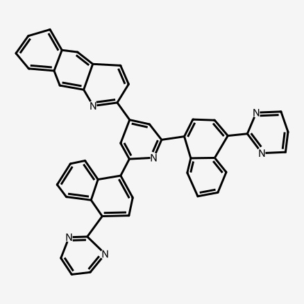 c1cnc(-c2ccc(-c3cc(-c4ccc5cc6ccccc6cc5n4)cc(-c4ccc(-c5ncccn5)c5ccccc45)n3)c3ccccc23)nc1